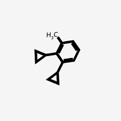 Cc1cccc(C2CC2)c1C1CC1